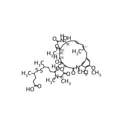 COc1cc2cc(c1Cl)N(C)C(=O)C[C@H](OC(=O)[C@H](C)N(C)C(=O)CCC(C)SSC(C)CCC(=O)O)[C@]1(C)O[C@H]1[C@H](C)[C@@H]1C[C@](O)(C/C=C/C=C(\C)C2)NC(=O)O1